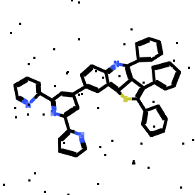 c1ccc(-c2sc3c(c(-c4ccccc4)nc4ccc(-c5cc(-c6ccccn6)nc(-c6ccccn6)c5)cc43)c2-c2ccccc2)cc1